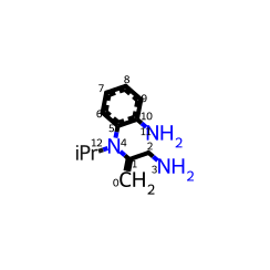 C=C(CN)N(c1ccccc1N)C(C)C